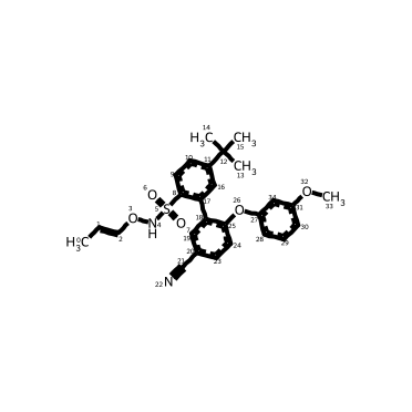 CC=CONS(=O)(=O)c1ccc(C(C)(C)C)cc1-c1cc(C#N)ccc1Oc1cccc(OC)c1